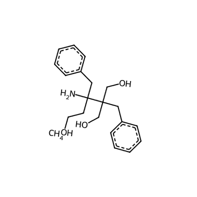 C.NC(CCO)(Cc1ccccc1)C(CO)(CO)Cc1ccccc1